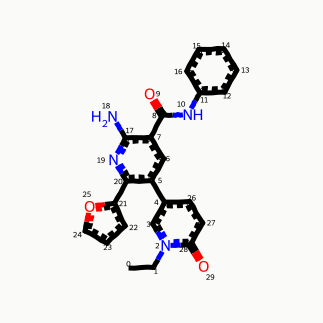 CCn1cc(-c2cc(C(=O)Nc3ccccc3)c(N)nc2-c2ccco2)ccc1=O